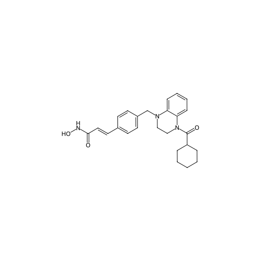 O=C(/C=C/c1ccc(CN2CCN(C(=O)C3CCCCC3)c3ccccc32)cc1)NO